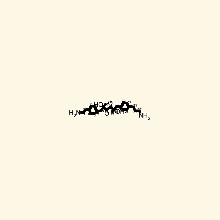 CC(O)(Cc1ccc(CCN)cc1)C(=O)C(=O)C(C)(O)Cc1ccc(CCCN)cc1